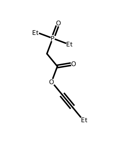 CCC#COC(=O)CP(=O)(CC)CC